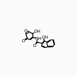 O=C(NC1=CC(=O)C2OC2C1O)c1ccc2ccccc2c1O